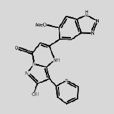 COc1cc2[nH]nnc2cc1-c1cc(=O)n2nc(O)c(-c3ccccn3)c2[nH]1